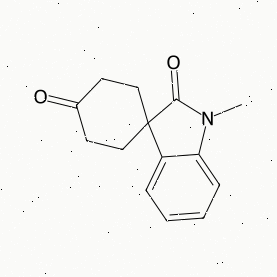 CN1C(=O)C2(CCC(=O)CC2)c2ccccc21